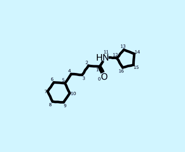 O=C(CCCC1CCCCC1)NC1CCCC1